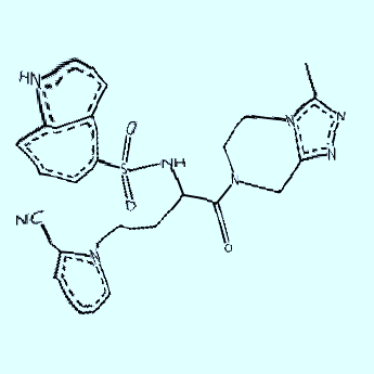 Cc1nnc2n1CCN(C(=O)C(CCn1cccc1C#N)NS(=O)(=O)c1cccc3[nH]ccc13)C2